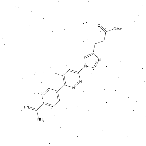 COC(=O)CCc1cn(-c2cc(C)c(-c3ccc(C(=N)N)cc3)nn2)cn1